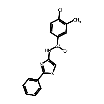 Cc1cc([S+]([O-])Nc2csc(-c3ccccc3)n2)ccc1Cl